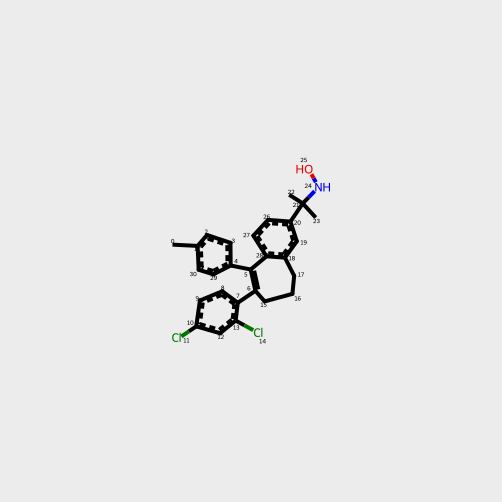 Cc1ccc(C2=C(c3ccc(Cl)cc3Cl)CCCc3cc(C(C)(C)NO)ccc32)cc1